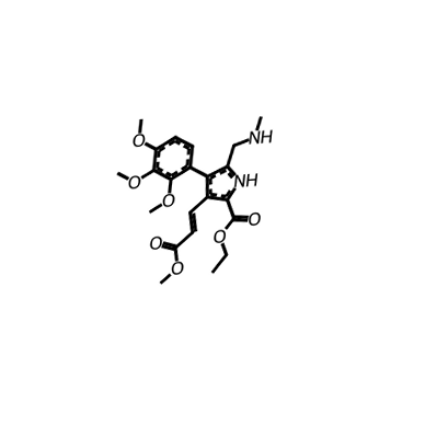 CCOC(=O)c1[nH]c(CNC)c(-c2ccc(OC)c(OC)c2OC)c1C=CC(=O)OC